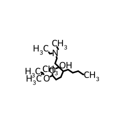 CCCCCC1CCC(OC(C)(C)C)OC1(O)CCN(CC)CC